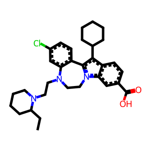 CCC1CCCCN1CCN1CCn2c(c(C3CCCCC3)c3ccc(C(=O)O)cc32)-c2ccc(Cl)cc21